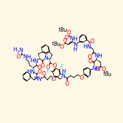 CC(C)(C)OC(=O)/C=C(\NC(=O)OC(C)(C)C)Nc1cccc(C(=O)NCC(=O)N[C@@H](CC(=O)OC(C)(C)C)C(=O)Nc2ccc(OCCCC(=O)NCCOCCC(=O)N[C@@H](Cc3ccccc3)C(=O)N[C@@H](CCCNC(N)=O)C(=O)N[C@@H](Cc3ccccc3)C(=O)N3CCC[C@H]3C(=O)Oc3c(F)c(F)cc(F)c3F)cc2)c1